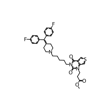 COC(=O)CCn1c(=O)n(CCCCCN2CCC(=C(c3ccc(F)cc3)c3ccc(F)cc3)CC2)c(=O)c2cscc21